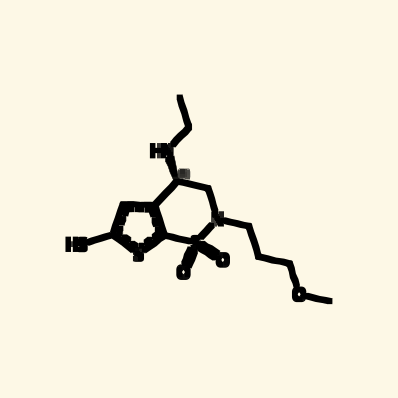 CCN[C@H]1CN(CCCOC)S(=O)(=O)c2sc(S)cc21